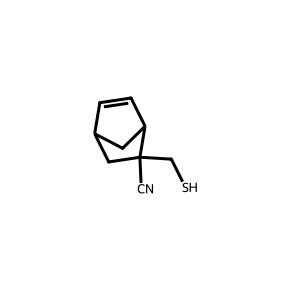 N#CC1(CS)CC2C=CC1C2